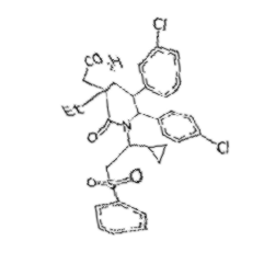 CCC1(CC(=O)O)CC(c2cccc(Cl)c2)C(c2ccc(Cl)cc2)N(C(CS(=O)(=O)c2ccccc2)C2CC2)C1=O